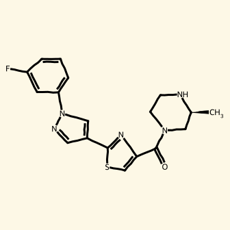 C[C@H]1CN(C(=O)c2csc(-c3cnn(-c4cccc(F)c4)c3)n2)CCN1